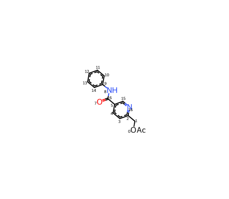 CC(=O)OCc1ccc(C(=O)Nc2ccccc2)cn1